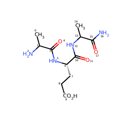 CC(N)C(=O)N[C@@H](CCC(=O)O)C(=O)NC(C)C(N)=O